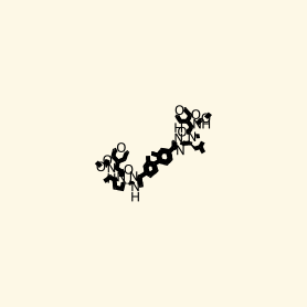 CCC1CC[C@@H](c2nc(-c3ccc(-c4ccc(-c5c[nH]c([C@H](CC(C)C)N(C)C(=O)[C@@H](NC(=O)OC)C6CCOCC6)n5)cc4C)c(C)c3)c[nH]2)N1C(=O)[C@@H](NC(=O)OC)C1CCOCC1